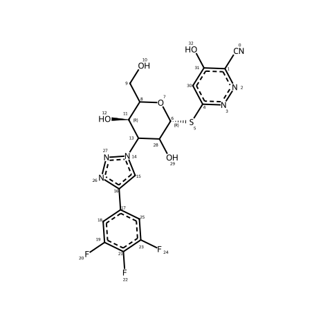 N#Cc1nnc(S[C@H]2OC(CO)[C@H](O)C(n3cc(-c4cc(F)c(F)c(F)c4)nn3)C2O)cc1O